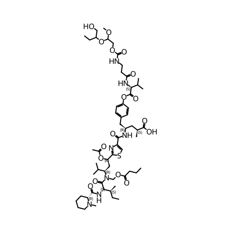 CCCC(=O)OCN(C(=O)[C@@H](NC(=O)[C@H]1CCCCN1C)[C@@H](C)CC)[C@H](C[C@@H](OC(C)=O)c1nc(C(=O)N[C@@H](Cc2ccc(OC(=O)[C@@H](NC(=O)CCNC(=O)OCC(OC)OC(CC)CO)C(C)C)cc2)C[C@H](C)C(=O)O)cs1)C(C)C